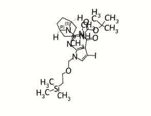 Cn1c(N2[C@@H]3CC[C@H]2C[C@@](C)(NC(=O)OC(C)(C)C)C3)nc2c(c(I)cn2COCC[Si](C)(C)C)c1=O